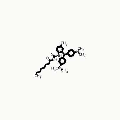 CCCCCCCC(=O)NC(=S)Nc1ccc(C)cc1C(c1ccc(N(C)C)cc1)c1ccc(N(C)C)cc1